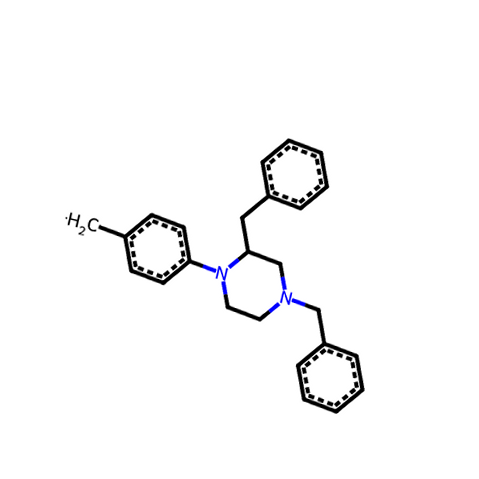 [CH2]c1ccc(N2CCN(Cc3ccccc3)CC2Cc2ccccc2)cc1